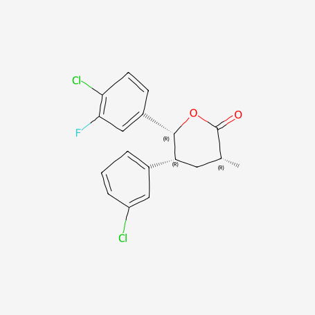 C[C@@H]1C[C@H](c2cccc(Cl)c2)[C@H](c2ccc(Cl)c(F)c2)OC1=O